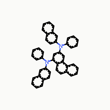 c1ccc(N(c2ccc3ccccc3c2)c2cc(N(c3ccccc3)c3ccc4ccccc4c3)c3ccc4ccccc4c3c2)cc1